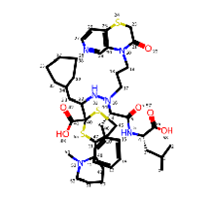 CC(C)C[C@H](NC(=O)[C@H](Cc1ccccc1)N(CCCN1C(=O)CSc2ccncc21)NC(CC1CCCCC1)C1(C(=O)O)SCCC(C2CCCCN2C)S1)C(=O)O